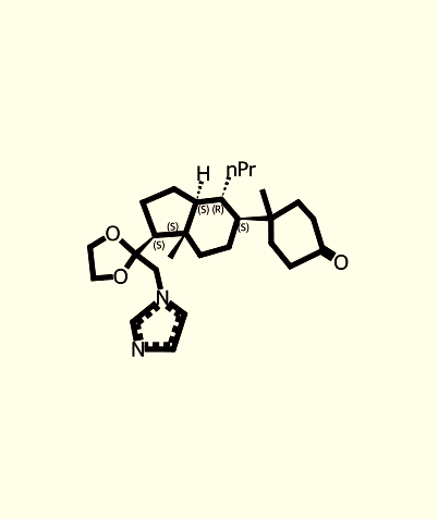 CCC[C@@H]1[C@@H](C2(C)CCC(=O)CC2)CC[C@]2(C)[C@@H](C3(Cn4ccnc4)OCCO3)CC[C@@H]12